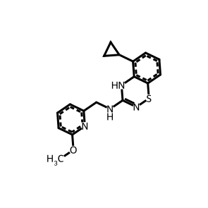 COc1cccc(CNC2=NSc3cccc(C4CC4)c3N2)n1